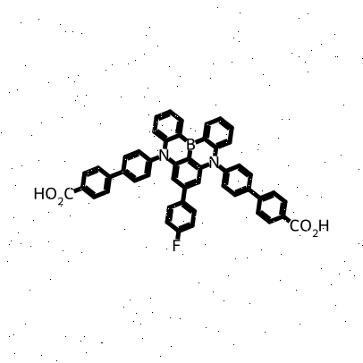 O=C(O)c1ccc(-c2ccc(N3c4ccccc4B4c5ccccc5N(c5ccc(-c6ccc(C(=O)O)cc6)cc5)c5cc(-c6ccc(F)cc6)cc3c54)cc2)cc1